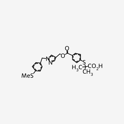 CSc1ccc(Cn2cc(COC(=O)c3ccc(SC(C)(C)C(=O)O)cc3)cn2)cc1